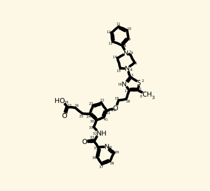 Cc1sc(N2CCN(c3ccccc3)CC2)nc1CCOc1ccc(CCC(=O)O)c(CNC(=O)c2ccccn2)c1